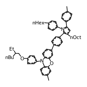 CCCCCCCCc1cc(-c2ccc(C)cc2)n(-c2ccc(CCCCCC)cc2)c1-c1ccc(-c2ccc3c(c2)Oc2cc(C)ccc2N3c2ccc(OCC(CC)CCCC)cc2)cc1